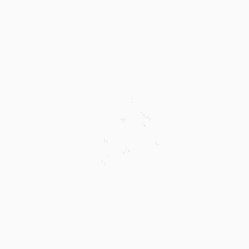 CC(C)(C)N1CCC(n2cc([C@@H](Nc3cc(Cl)c4ncc(C#N)c(NCc5ccccc5)c4c3)c3ccc(Cl)cc3)nn2)CC1